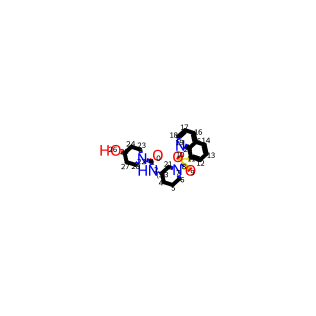 O=C(N[C@H]1CCCN(S(=O)(=O)c2cccc3cccnc23)C1)N1CCC(O)CC1